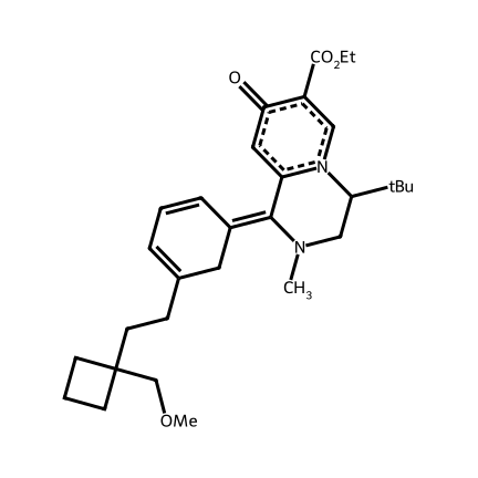 CCOC(=O)c1cn2c(cc1=O)/C(=C1\C=CC=C(CCC3(COC)CCC3)C1)N(C)CC2C(C)(C)C